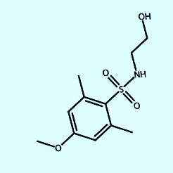 COc1cc(C)c(S(=O)(=O)NCCO)c(C)c1